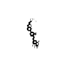 CCCc1cc2ccc(-c3ccc(CCc4cc(F)c(C(F)(F)F)c(F)c4)c(F)c3)cc2s1